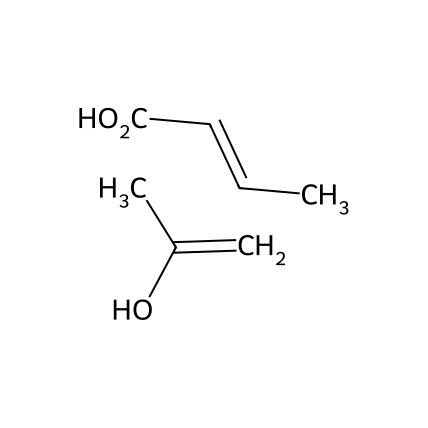 C=C(C)O.CC=CC(=O)O